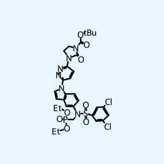 CCOP(=O)(CN(c1ccc2c(ccn2-c2ccc(N3CCN(C(=O)OC(C)(C)C)C3=O)nn2)c1)S(=O)(=O)c1cc(Cl)cc(Cl)c1)OCC